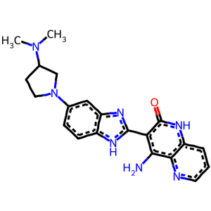 CN(C)C1CCN(c2ccc3[nH]c(-c4c(N)c5ncccc5[nH]c4=O)nc3c2)C1